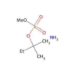 CCC(C)(C)OS(=O)(=O)OC.N